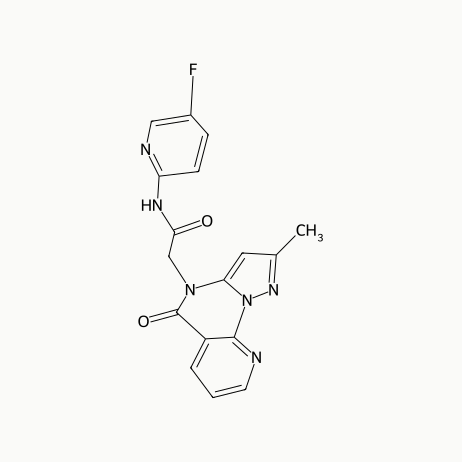 Cc1cc2n(CC(=O)Nc3ccc(F)cn3)c(=O)c3cccnc3n2n1